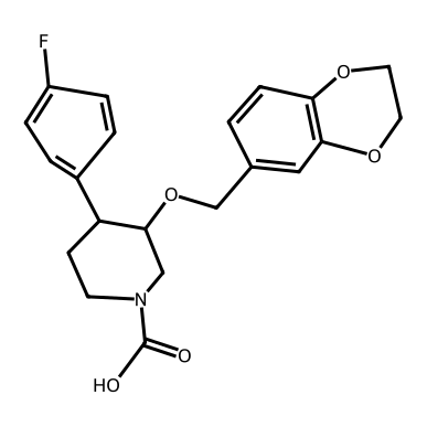 O=C(O)N1CCC(c2ccc(F)cc2)C(OCc2ccc3c(c2)OCCO3)C1